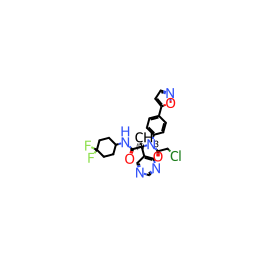 C[C@](C(=O)NC1CCC(F)(F)CC1)(c1cncnc1)N(C(=O)CCl)c1ccc(-c2ccno2)cc1